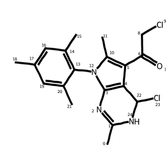 CC1=Nc2c(c(C(=O)CCl)c(C)n2-c2c(C)cc(C)cc2C)C(Cl)N1